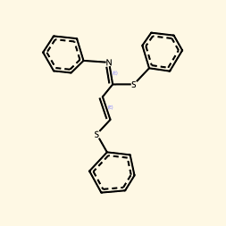 C(=C\C(=N/c1ccccc1)Sc1ccccc1)/Sc1ccccc1